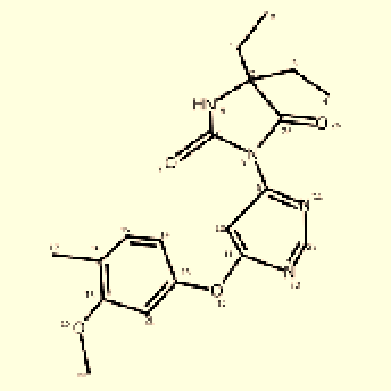 CCC1(CC)NC(=O)N(c2cc(Oc3ccc(C)c(OC)c3)ncn2)C1=O